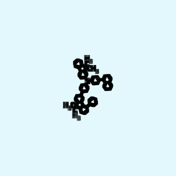 CC1(C)c2ccccc2-c2ccc(N(c3ccc(-c4ccc5c(c4)-c4c(-c6ccccc6)cccc4C5(C)C)cc3)c3ccc(-c4cccc5ccccc45)cc3)cc21